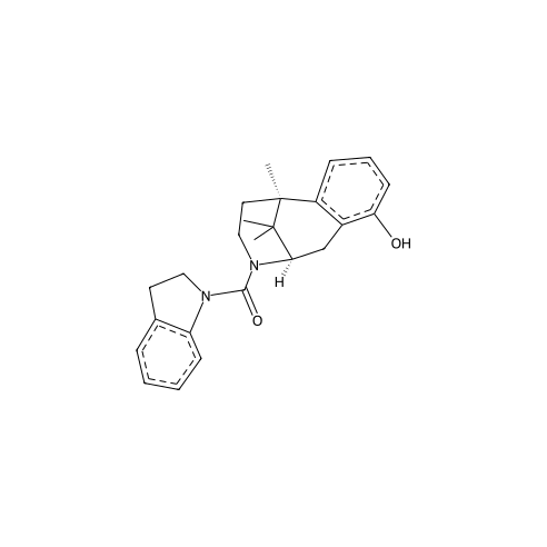 CC1(C)[C@H]2Cc3c(O)cccc3[C@]1(C)CCN2C(=O)N1CCc2ccccc21